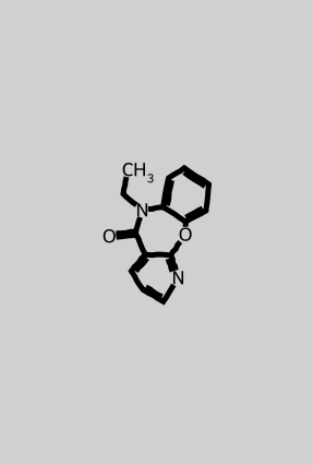 CCN1C(=O)c2cccnc2Oc2ccccc21